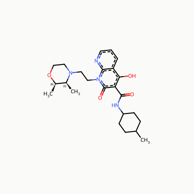 CC1CCC(NC(=O)c2c(O)c3cccnc3n(CCN3CCO[C@H](C)[C@@H]3C)c2=O)CC1